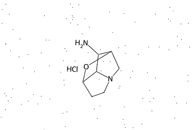 Cl.NC1C2CN3CCC(O2)C13